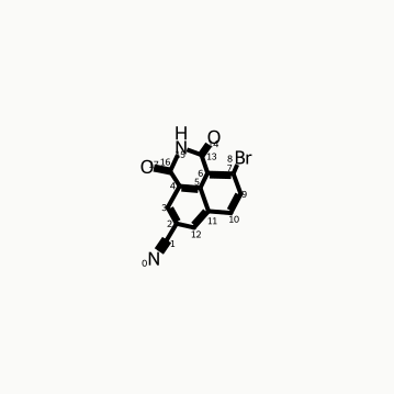 N#Cc1cc2c3c(c(Br)ccc3c1)C(=O)NC2=O